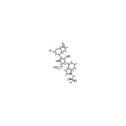 CC(C)c1c(-c2cc(F)cc3[nH]ccc23)[nH]c(C(=O)O)c1-c1cccc2c1ccn2CS(C)(=O)=O